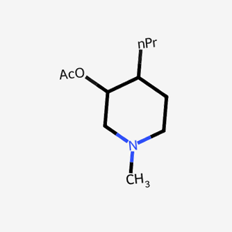 CCCC1CCN(C)CC1OC(C)=O